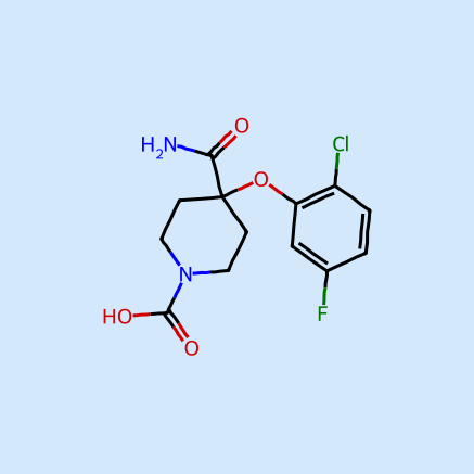 NC(=O)C1(Oc2cc(F)ccc2Cl)CCN(C(=O)O)CC1